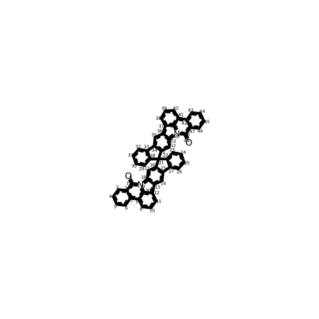 O=c1c2ccccc2c2cccc3c4cc5c(cc4n1c23)C1(c2ccccc2-5)c2ccccc2-c2cc3c4cccc5c6ccccc6c(=O)n(c3cc21)c54